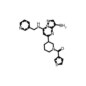 Bc1cnn2c(NCc3cccnc3)cc(C3CCCN(C(=O)c4ccsc4)C3)nc12